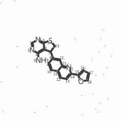 Nc1ncnc2c1C(c1ccc3ccc(-c4ccco4)nc3c1)CS2